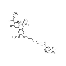 CCOC(=O)c1cn2c(cc1=O)-c1cc(OC)c(OCCCCCCCCNC(=O)OC(C)(C)C)cc1CC2C(C)(C)C